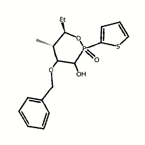 CC[C@H]1OP(=O)(c2cccs2)C(O)C(OCc2ccccc2)[C@@H]1C